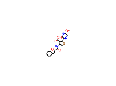 COc1cnc(-c2scc(NC(=O)c3cc4ccccc4o3)c2C(=O)O)cn1